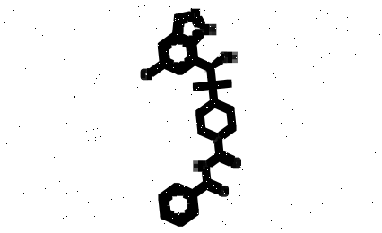 CC(C)(C1CCN(C(=O)NC(=O)c2ccccc2)CC1)[C@H](O)c1cc(Cl)cc2cn[nH]c12